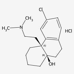 CN(C)CC[C@]12CCCC[C@@]1(O)CCc1ccc(Cl)cc12.Cl